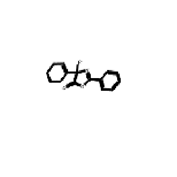 CC(C)C1(C2=CCCCC2)N=C(c2ccccc2)OC1=O